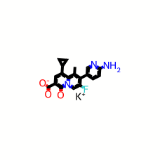 Cc1c(-c2ccc(N)nc2)c(F)cn2c(=O)c(C(=O)[O-])cc(C3CC3)c12.[K+]